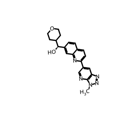 Cn1nnc2cc(-c3ccc4ccc([C@@H](O)C5CCOCC5)cc4n3)cnc21